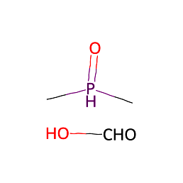 C[PH](C)=O.O=CO